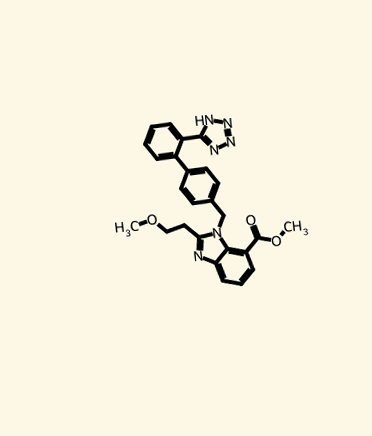 COCCc1nc2cccc(C(=O)OC)c2n1Cc1ccc(-c2ccccc2-c2nnn[nH]2)cc1